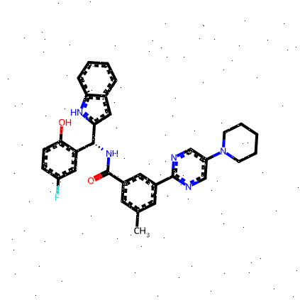 Cc1cc(C(=O)N[C@@H](c2cc3ccccc3[nH]2)c2cc(F)ccc2O)cc(-c2ncc(N3CCCCC3)cn2)c1